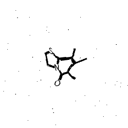 Cc1c(C)c2n(c(=O)c1C)CCS2